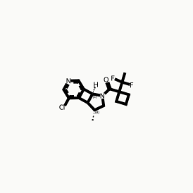 C[C@H]1CN(C(=O)C2(C(C)(F)F)CCC2)[C@@H]2c3cncc(Cl)c3C21